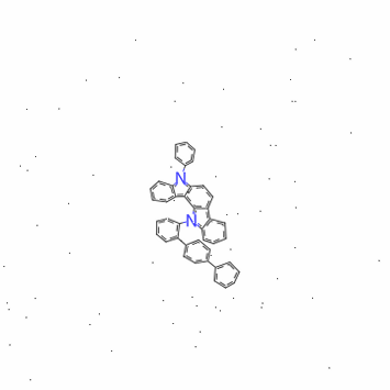 c1ccc(-c2ccc(-c3ccccc3-n3c4ccccc4c4ccc5c(c6ccccc6n5-c5ccccc5)c43)cc2)cc1